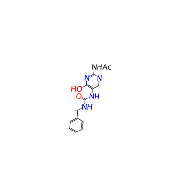 CC(=O)Nc1ncc(NC(=O)N[CH]c2ccccc2)c(O)n1